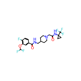 O=C(CN1CCC(CNC(=O)c2ccc(F)c(OC(F)F)c2)CC1)NC1(C(F)(F)F)CC1